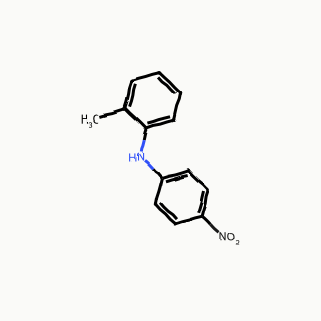 Cc1ccccc1Nc1ccc([N+](=O)[O-])cc1